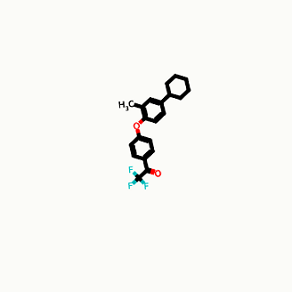 Cc1cc(C2CCCCC2)ccc1Oc1ccc(C(=O)C(F)(F)F)cc1